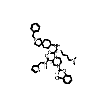 CN(C)CCCC[C@@H](NC1CCC2(CC1)CCN(Cc1ccccc1)C2)C(=O)N1CCN(C(=O)Oc2ccccc2Cl)C[C@H]1C(=O)NCc1cccs1